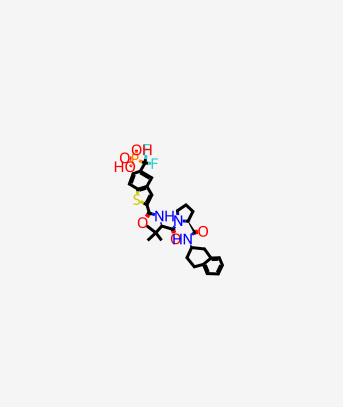 CC(C)(C)[C@H](NC(=O)c1cc2cc(C(F)(F)P(=O)(O)O)ccc2s1)C(=O)N1CCC[C@H]1C(=O)N[C@H]1CCc2ccccc2C1